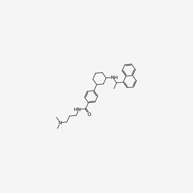 CC(NC1CCCC(c2ccc(C(=O)NCCCN(C)C)cc2)C1)c1cccc2ccccc12